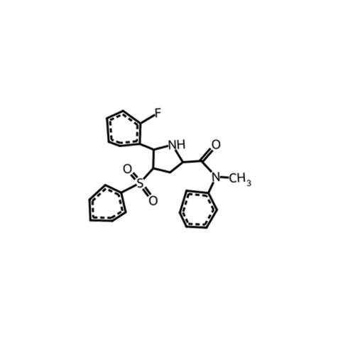 CN(C(=O)C1CC(S(=O)(=O)c2ccccc2)C(c2ccccc2F)N1)c1ccccc1